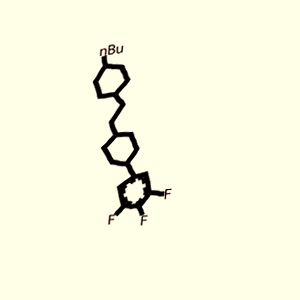 CCCCC1CCC(CCC2CCC(c3cc(F)c(F)c(F)c3)CC2)CC1